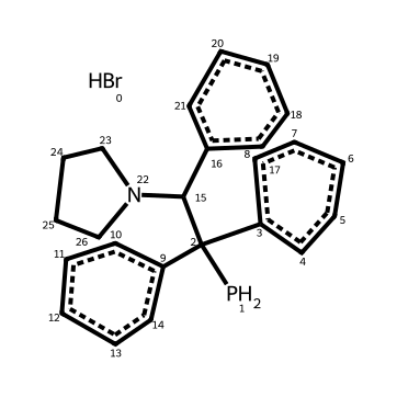 Br.PC(c1ccccc1)(c1ccccc1)C(c1ccccc1)N1CCCC1